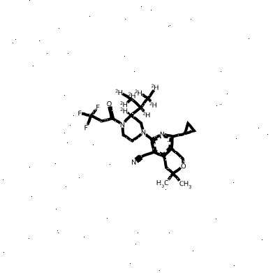 [2H]C([2H])([2H])C([2H])(C([2H])([2H])[2H])[C@]1([2H])CN(c2nc(C3CC3)c3c(c2C#N)CC(C)(C)OC3)CCN1C(=O)CC(F)(F)F